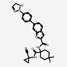 N#CC1(NC(=O)C2(NC(=O)c3cc4ccc(-c5ccc(N6N=CCN6)cc5)cc4o3)CCC(F)(F)CC2)CC1